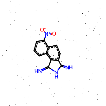 N=C1NC(=N)c2c1ccc1c([N+](=O)[O-])cccc21